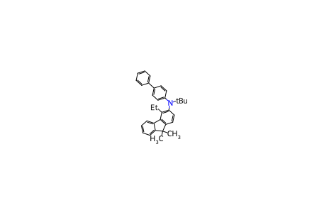 CCc1c(N(c2ccc(-c3ccccc3)cc2)C(C)(C)C)ccc2c1-c1ccccc1C2(C)C